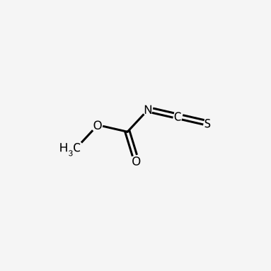 COC(=O)N=C=S